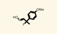 COc1ccc(C(C)(F)C=NO)cc1